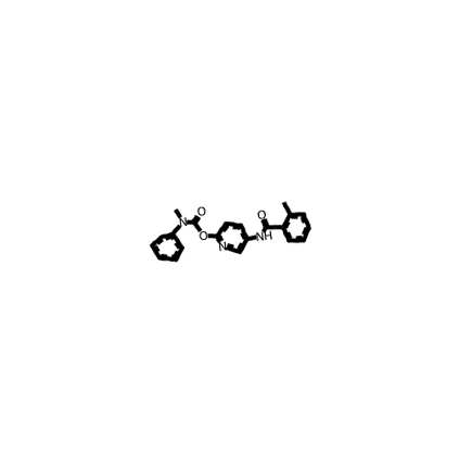 Cc1ccccc1C(=O)Nc1ccc(OC(=O)N(C)c2ccccc2)nc1